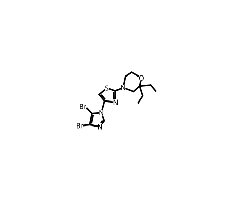 CCC1(CC)CN(c2nc(-n3cnc(Br)c3Br)cs2)CCO1